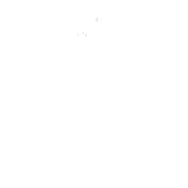 CC(C)NCCCOc1ccc(C(C)C)cc1